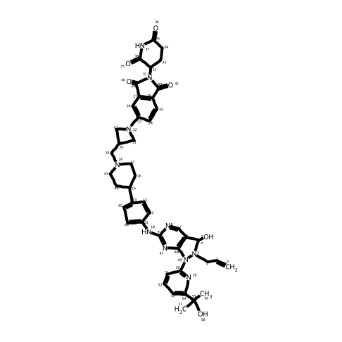 C=CCN1C(O)c2cnc(Nc3ccc(C4CCN(CC5CN(c6ccc7c(c6)C(=O)N(C6CCC(=O)NC6=O)C7=O)C5)CC4)cc3)nc2N1c1cccc(C(C)(C)O)n1